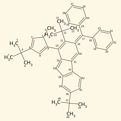 CC1C=C(C(C)(C)C)C=C1c1c(C(C)(C)C)c(=C(c2ccccc2)c2ccccc2)cc2c1=[C]c1cc(C(C)(C)C)ccc1-2